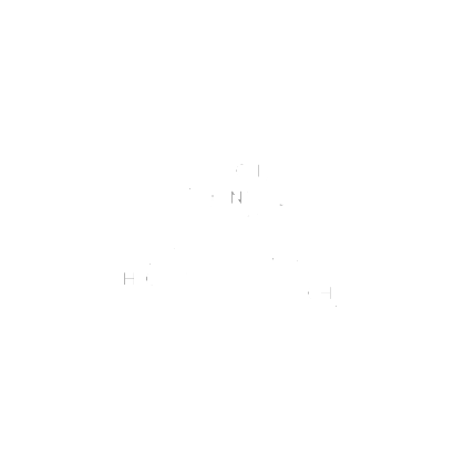 C=Cc1ccc(N(C)c2cccc(CC)c2)cc1